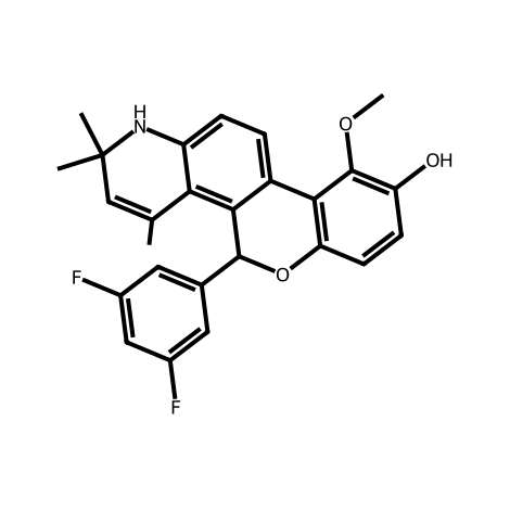 COc1c(O)ccc2c1-c1ccc3c(c1C(c1cc(F)cc(F)c1)O2)C(C)=CC(C)(C)N3